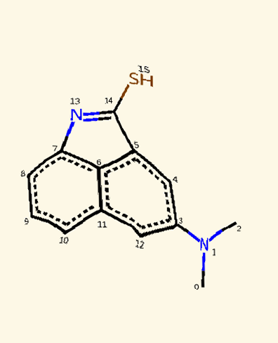 CN(C)c1cc2c3c(cccc3c1)N=C2S